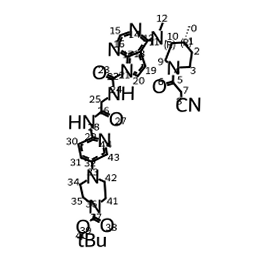 C[C@@H]1CCN(C(=O)CC#N)C[C@@H]1N(C)c1ncnc2c1ccn2C(=O)NCC(=O)Nc1ccc(N2CCN(C(=O)OC(C)(C)C)CC2)cn1